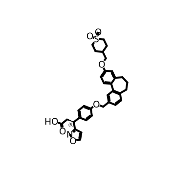 O=C(O)C[C@@H](c1ccc(OCc2ccc3c(c2)-c2ccc(OCC4CCS(=O)(=O)CC4)cc2CCC3)cc1)c1ccon1